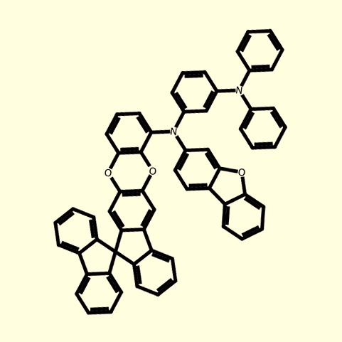 c1ccc(N(c2ccccc2)c2cccc(N(c3ccc4c(c3)oc3ccccc34)c3cccc4c3Oc3cc5c(cc3O4)C3(c4ccccc4-c4ccccc43)c3ccccc3-5)c2)cc1